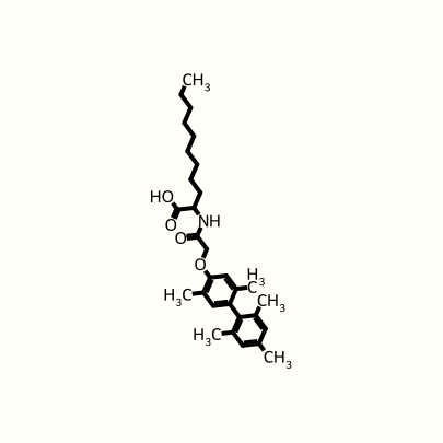 CCCCCCCCCC(NC(=O)COc1cc(C)c(-c2c(C)cc(C)cc2C)cc1C)C(=O)O